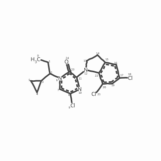 CCC(C1CC1)n1cc(Cl)nc(N2CCc3cc(Cl)cc(Cl)c32)c1=O